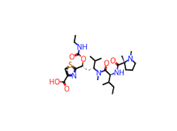 CCNC(=O)O[C@H](C[C@H](C(C)C)N(C)C(=O)[C@@H](NC(=O)[C@@]1(C)CCCN1C)C(C)CC)c1nc(C(=O)O)cs1